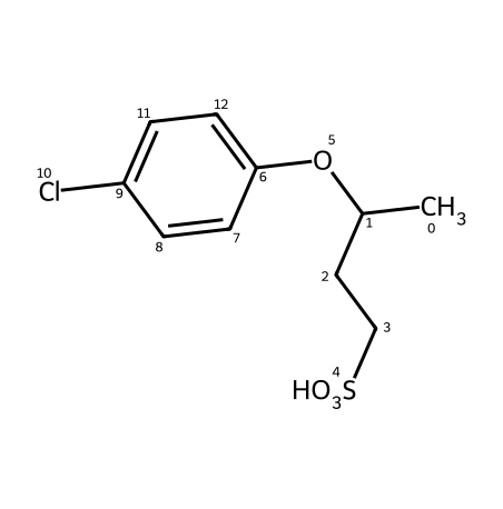 CC(CCS(=O)(=O)O)Oc1ccc(Cl)cc1